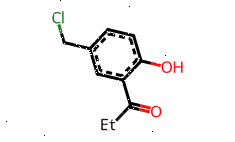 CCC(=O)c1cc(CCl)ccc1O